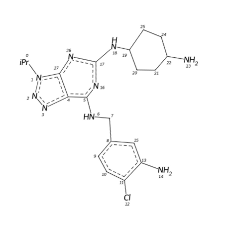 CC(C)n1nnc2c(NCc3ccc(Cl)c(N)c3)nc(NC3CCC(N)CC3)nc21